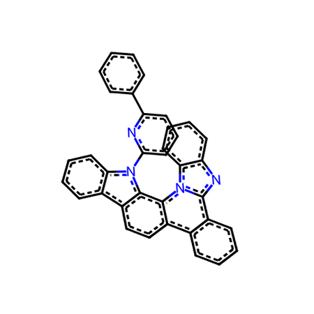 c1ccc(-c2cccc(-n3c4ccccc4c4ccc5c6ccccc6c6nc7ccccc7n6c5c43)n2)cc1